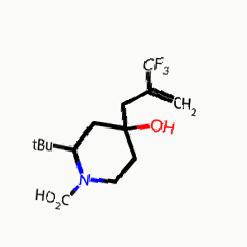 C=C(CC1(O)CCN(C(=O)O)C(C(C)(C)C)C1)C(F)(F)F